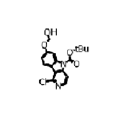 CC(C)(C)OC(=O)n1c2cc(OCO)ccc2c2c(Cl)nccc21